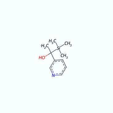 [CH2]C(O)(c1cccnc1)[Si](C)(C)C